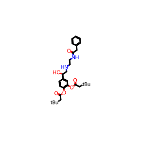 CC(C)(C)CC(=O)Oc1ccc(C(O)CNCCNC(=O)Cc2ccccc2)cc1OC(=O)CC(C)(C)C